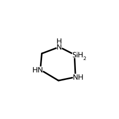 C1NCN[SiH2]N1